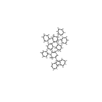 C1=C(n2c3ccccc3c3ccccc32)NC(c2ccccc2)N=C1c1cccc(-c2c(-c3ccccc3)c(-c3ccccc3)nc(-c3ccccc3)c2-c2ccccc2)c1